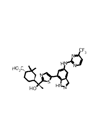 CC1(C)C[C@@H]([C@@](C)(O)c2ncc(-c3cc(Nc4nccc(C(F)(F)F)n4)cc4cn[nH]c34)s2)CC[C@@H]1C(=O)O